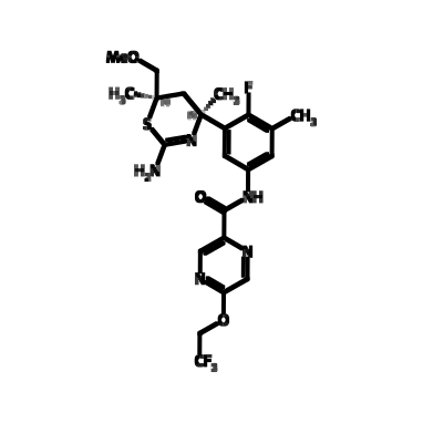 COC[C@@]1(C)C[C@@](C)(c2cc(NC(=O)c3cnc(OCC(F)(F)F)cn3)cc(C)c2F)N=C(N)S1